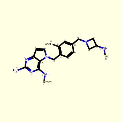 CCCCCNc1nc(N)nc2ccn(Cc3ccc(CN4CC(NC(C)C)C4)cc3OC)c12